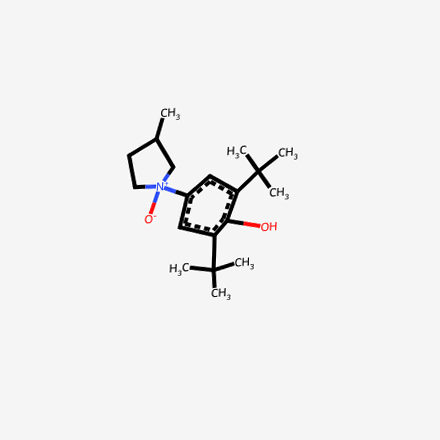 CC1CC[N+]([O-])(c2cc(C(C)(C)C)c(O)c(C(C)(C)C)c2)C1